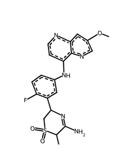 COc1cnc2c(Nc3ccc(F)c(C4CS(=O)(=O)C(C)C(N)=N4)c3)ccnc2c1